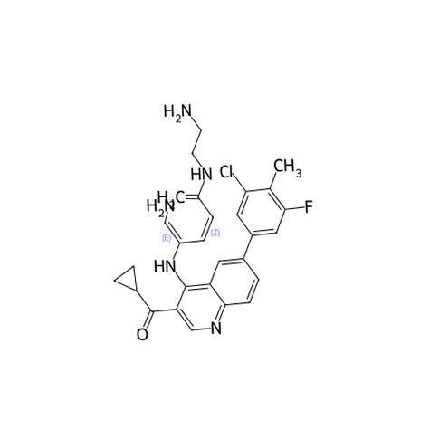 C=C(/C=C\C(=C/N)Nc1c(C(=O)C2CC2)cnc2ccc(-c3cc(F)c(C)c(Cl)c3)cc12)NCCN